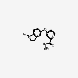 CCCNC(=O)c1cc(Oc2ccc3c(c2)CCN3C(C)=O)ccn1